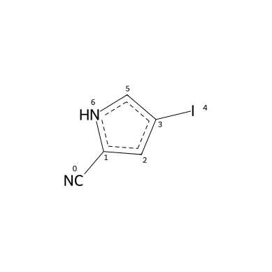 N#Cc1cc(I)c[nH]1